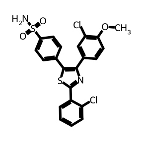 COc1ccc(-c2nc(-c3ccccc3Cl)sc2-c2ccc(S(N)(=O)=O)cc2)cc1Cl